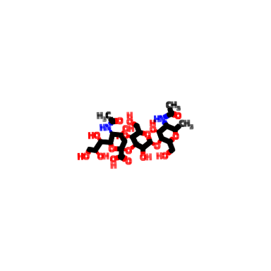 CC(=O)NC1C(C)OC(CO)[C@@H](O[C@@H]2OC(CO)[C@H](O)[C@H](O[C@]3(C(=O)O)C[C@@H](O)[C@@H](NC(C)=O)C([C@H](O)[C@H](O)CO)O3)C2O)[C@@H]1O